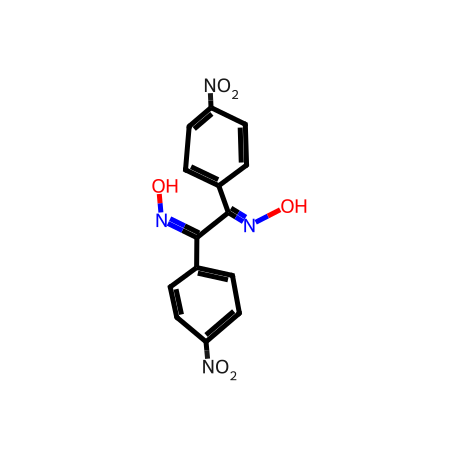 O=[N+]([O-])c1ccc(C(=NO)C(=NO)c2ccc([N+](=O)[O-])cc2)cc1